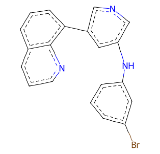 Brc1cccc(Nc2cncc(-c3cccc4cccnc34)c2)c1